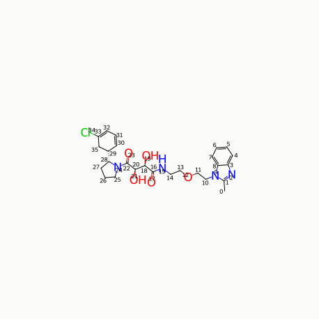 Cc1nc2ccccc2n1CCOCCNC(=O)[C@H](O)[C@@H](O)C(=O)N1CCC[C@@H]1C1C=CC=C(Cl)C1